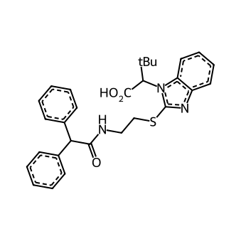 CC(C)(C)C(C(=O)O)n1c(SCCNC(=O)C(c2ccccc2)c2ccccc2)nc2ccccc21